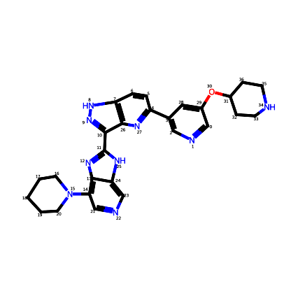 c1ncc(-c2ccc3[nH]nc(-c4nc5c(N6CCCCC6)cncc5[nH]4)c3n2)cc1OC1CCNCC1